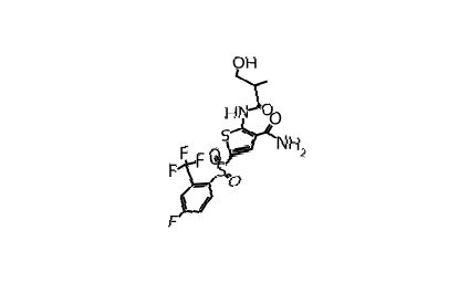 CC(CO)C(=O)Nc1sc(S(=O)(=O)c2ccc(F)cc2C(F)(F)F)cc1C(N)=O